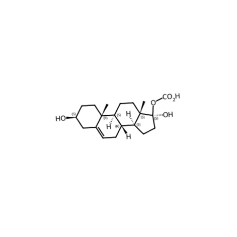 C[C@]12CC[C@H](O)CC1=CC[C@@H]1[C@@H]2CC[C@@]2(C)[C@H]1CC[C@]2(O)OC(=O)O